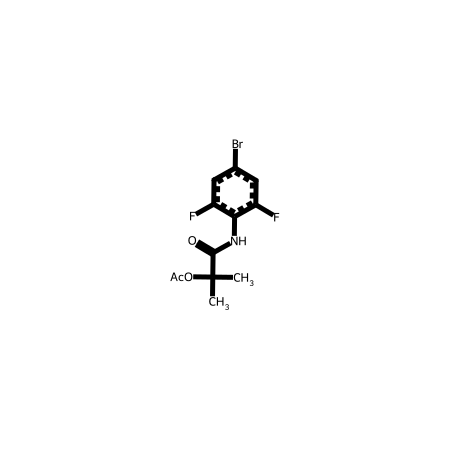 CC(=O)OC(C)(C)C(=O)Nc1c(F)cc(Br)cc1F